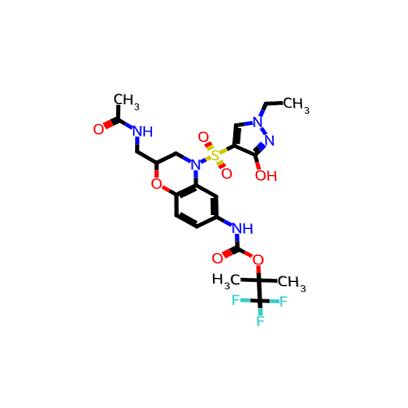 CCn1cc(S(=O)(=O)N2CC(CNC(C)=O)Oc3ccc(NC(=O)OC(C)(C)C(F)(F)F)cc32)c(O)n1